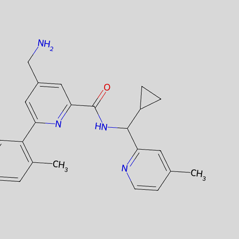 Cc1ccnc(C(NC(=O)c2cc(CN)cc(-c3ccc(F)cc3C)n2)C2CC2)c1